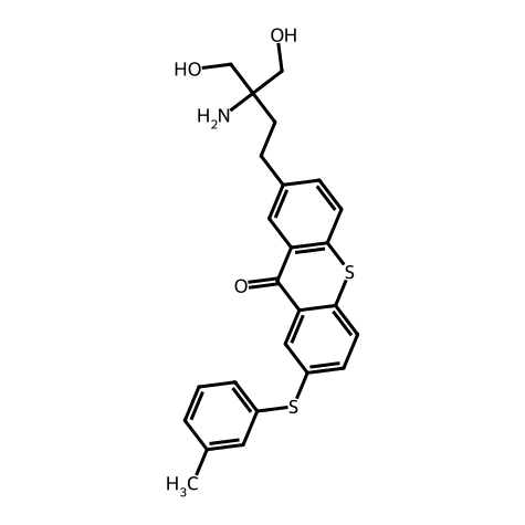 Cc1cccc(Sc2ccc3sc4ccc(CCC(N)(CO)CO)cc4c(=O)c3c2)c1